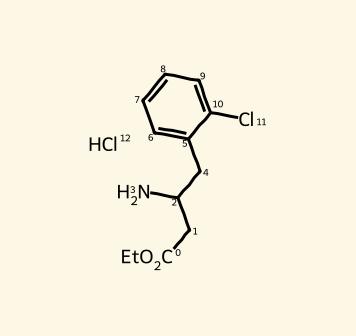 CCOC(=O)CC(N)Cc1ccccc1Cl.Cl